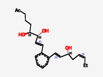 CC/C=C\C[C@@H](O)/C=C/c1ccccc1/C=C/[C@@H](O)[C@@H](O)CCCC(C)=O